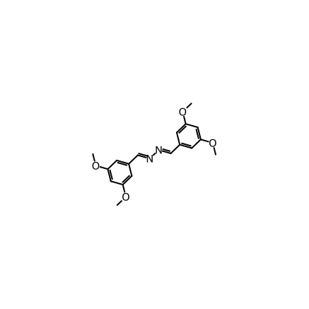 COc1cc(C=NN=Cc2cc(OC)cc(OC)c2)cc(OC)c1